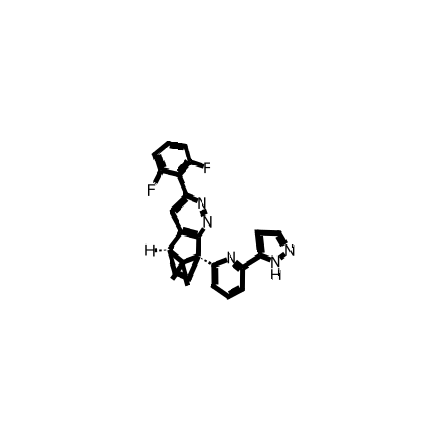 CC1(C)[C@H]2CC[C@]1(c1cccc(-c3ccn[nH]3)n1)c1nnc(-c3c(F)cccc3F)cc12